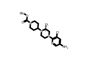 CC[C@H]1CN(c2ncc(N)cc2Cl)CCN1C1CCN(C(=O)OC(C)(C)C)CC1